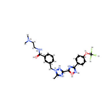 Cc1nc(-c2nc(-c3ccc(OC(F)(F)F)cc3)no2)nn1Cc1cccc(C(=O)NCCN(C)C)c1